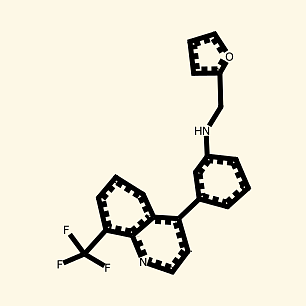 FC(F)(F)c1cccc2c(-c3cccc(NCc4ccco4)c3)[c]cnc12